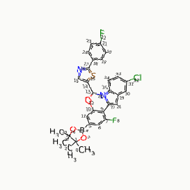 CC1(C)OB(c2cc(F)c3c(c2)OC(c2cnc(-c4ccc(F)cc4)s2)n2c-3cc3cc(Cl)ccc32)OC1(C)C